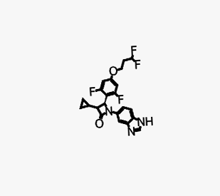 O=C1C(C2CC2)[C@@H](c2c(F)cc(OCCC(F)F)cc2F)N1c1ccc2[nH]cnc2c1